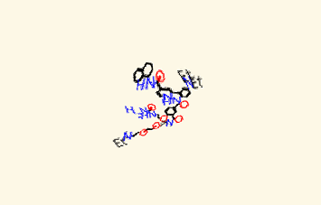 CCN(C)CCOCCOC[C@H](OCCNC(N)=O)N(C)C(=O)c1cccc(C(=O)Nc2ccc(N(CC)CC)cc2-c2cc(C(=O)NC3CCCc4ccccc43)ccn2)c1